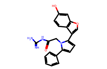 N=C(N)NC(=O)Cn1c(-c2ccccc2)ccc1-c1coc2cc(O)ccc12